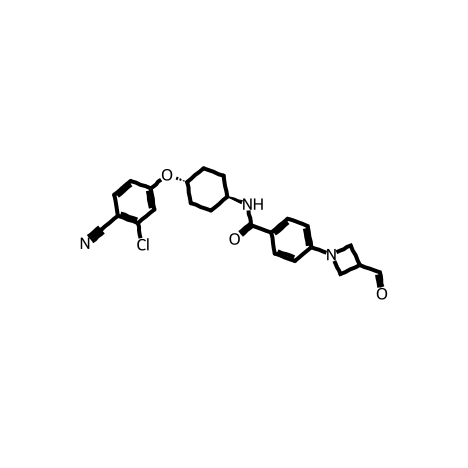 N#Cc1ccc(O[C@H]2CC[C@H](NC(=O)c3ccc(N4CC(C=O)C4)cc3)CC2)cc1Cl